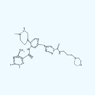 Cc1cc(C(=O)Nc2cc(-n3cc(C(=O)NCCCN4CCOCC4)nn3)ccc2N2CCN(C)[C@@H](C)C2)c(C(F)(F)F)nc1F